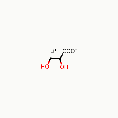 O=C([O-])C(O)CO.[Li+]